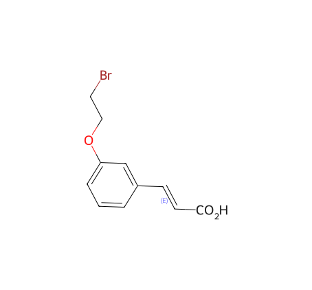 O=C(O)/C=C/c1cccc(OCCBr)c1